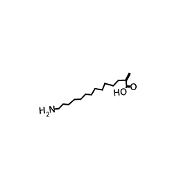 C=C(CCCCCCCCCCCCN)C(=O)O